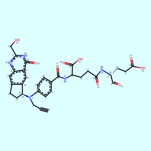 C#CCN(c1ccc(C(=O)NC(CCC(=O)N[C@@H](C=O)CCC(=O)O)C(=O)O)cc1)[C@H]1CCc2cc3nc(CO)[nH]c(=O)c3cc21